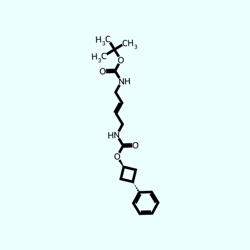 CC(C)(C)OC(=O)NC/C=C/CNC(=O)O[C@H]1C[C@H](c2ccccc2)C1